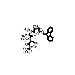 CC(C)C[C@@H](C(=O)N(C)[C@@H](CC(C)C)C(=O)N(C)[C@H](C(=O)O)C(C)C)N(C)C(=O)[C@@H](C)NC(=O)OCC1c2ccccc2-c2ccccc21